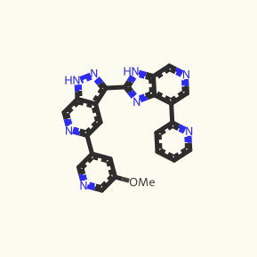 COc1cncc(-c2cc3c(-c4nc5c(-c6ccccn6)cncc5[nH]4)n[nH]c3cn2)c1